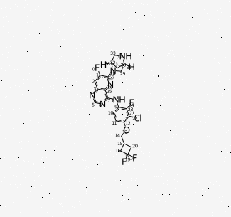 Fc1cc2ncnc(Nc3ccc(OCC4CC(F)(F)C4)c(Cl)c3F)c2nc1N1C[C@@H]2C[C@H]1CN2